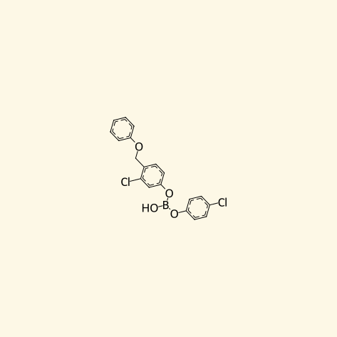 OB(Oc1ccc(Cl)cc1)Oc1ccc(COc2ccccc2)c(Cl)c1